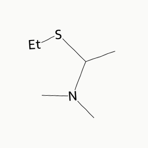 CCSC(C)N(C)C